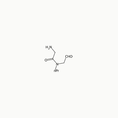 CCCN(C[C]=O)C(=O)CN